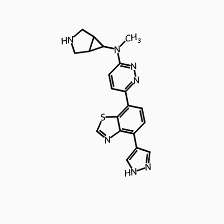 CN(c1ccc(-c2ccc(-c3cn[nH]c3)c3ncsc23)nn1)C1C2CNCC21